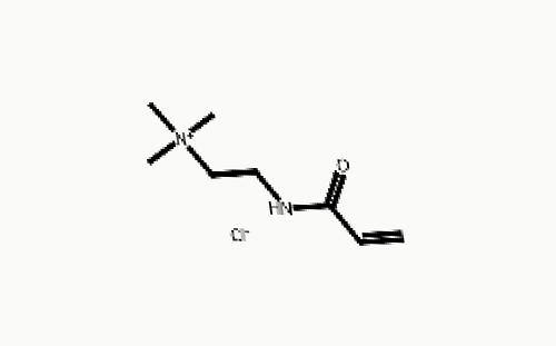 C=CC(=O)NCC[N+](C)(C)C.[Cl-]